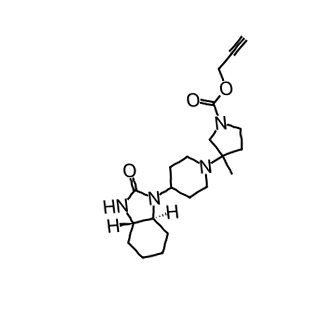 C#CCOC(=O)N1CCC(C)(N2CCC(N3C(=O)N[C@H]4CCCC[C@@H]43)CC2)C1